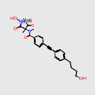 CNC(=O)C(C)(C(=O)NO)N(C)C(=O)c1ccc(C#Cc2ccc(CCCCO)cc2)cc1